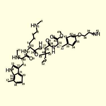 CNCCCC[C@H](NC(=O)[C@H](Cc1c[nH]c2c(C)cccc12)NC)C(=O)N[C@H](C(=O)N[C@@H](Cc1ccc(OCCNC)cc1)C(=O)OC)C(C)(C)SC